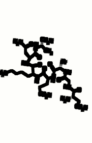 CC(C)[C@H](NC(=O)CNC(=O)[C@@H](N)CC(=O)O)C(=O)N[C@@H](CCC(=O)O)C(=O)N[C@@H](CCCCN)C(=O)N[C@@H](CC(N)=O)C(=O)N[C@@H](C)C(=O)O